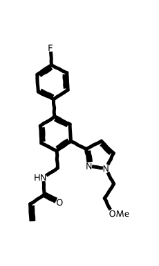 C=CC(=O)NCc1ccc(-c2ccc(F)cc2)cc1-c1ccn(CCOC)n1